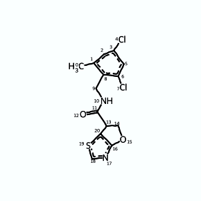 Cc1cc(Cl)cc(Cl)c1CNC(=O)C1COc2ncsc21